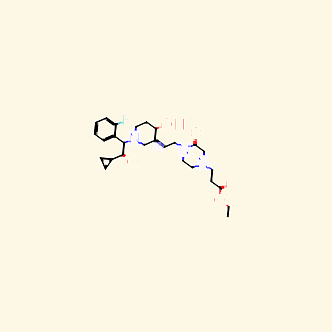 CCOC(=O)CCN1CCN(C/C=C2/CN(C(C(=O)C3CC3)c3ccccc3F)CCC2O)C(=O)C1